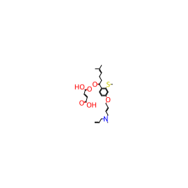 C=CCN(C)CC=CCOc1ccc(C(=O)CCC=C(C)C)c(SC)c1.O=C(O)C=CC(=O)O